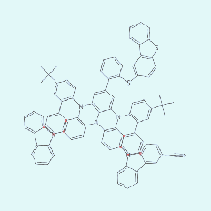 CC(C)(C)c1ccc(N2c3cc(-n4c5ccccc5c5ccccc54)ccc3B3c4ccc(-n5c6ccccc6c6cc(C#N)ccc65)cc4N(c4ccc(C(C)(C)C)cc4-c4ccccc4)c4cc(-c5cccc6c5sc5ccc7sc8ccccc8c7c56)cc2c43)c(-c2ccccc2)c1